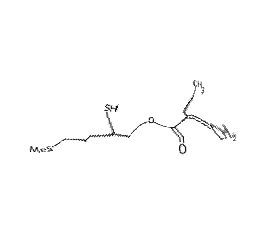 C=C(C)C(=O)OCC(S)CCSC